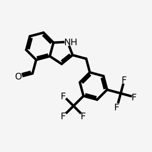 O=Cc1cccc2[nH]c(Cc3cc(C(F)(F)F)cc(C(F)(F)F)c3)cc12